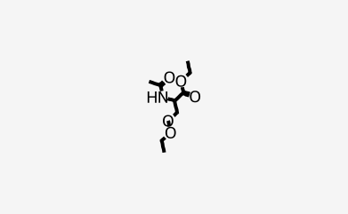 CCOOCC(NC(C)=O)C(=O)OCC